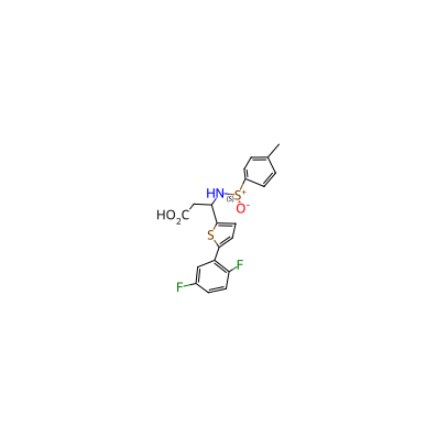 Cc1ccc([S@@+]([O-])NC(CC(=O)O)c2ccc(-c3cc(F)ccc3F)s2)cc1